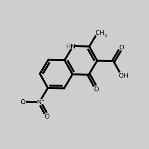 Cc1[nH]c2ccc([N+](=O)[O-])cc2c(=O)c1C(=O)O